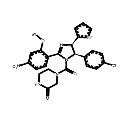 CC(C)Oc1cc([N+](=O)[O-])ccc1C1=N[C@@H](c2ccc[nH]2)[C@@H](c2ccc(Cl)cc2)N1C(=O)N1CCNC(=O)C1